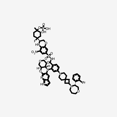 CC(C)c1ccccc1[C@@H]1COCCCN1C1CC2(CCN(c3ccc(C(=O)NS(=O)(=O)c4cc5c(c([N+](=O)[O-])c4)N[C@@H](C4(F)CCC(C)(OP(=O)(O)O)CC4)CO5)c(N4c5cc6cc[nH]c6nc5O[C@H]5COCC[C@@H]54)c3)CC2)C1